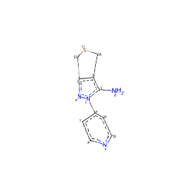 Nc1c2c(nn1-c1ccncc1)CSC2